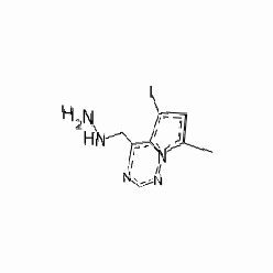 Cc1cc(I)c2c(CNN)ncnn12